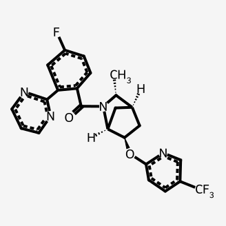 C[C@@H]1[C@H]2C[C@@H](Oc3ccc(C(F)(F)F)cn3)[C@H](C2)N1C(=O)c1ccc(F)cc1-c1ncccn1